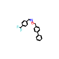 FC(F)c1ccc(/[C]=N\OCc2ccc(-c3ccccc3)cc2)cc1